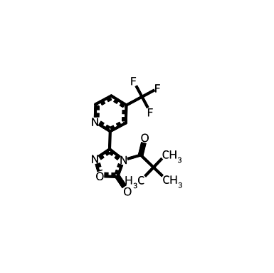 CC(C)(C)C(=O)n1c(-c2cc(C(F)(F)F)ccn2)noc1=O